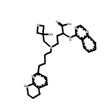 O=C(O)C(CCN(CCCCc1ccc2c(n1)NCCC2)CC1(O)COC1)Nc1ncnc2ccccc12